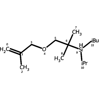 C=C(C)COCC(C)(C)[SiH](C(C)C)C(C)CC